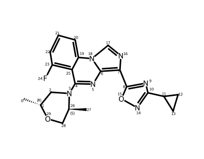 C[C@@H]1CN(c2nc3c(-c4nc(C5CC5)no4)ncn3c3cccc(F)c23)[C@@H](C)CO1